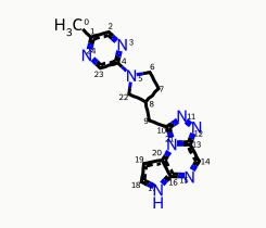 Cc1cnc(N2CCC(Cc3nnc4cnc5[nH]ccc5n34)C2)cn1